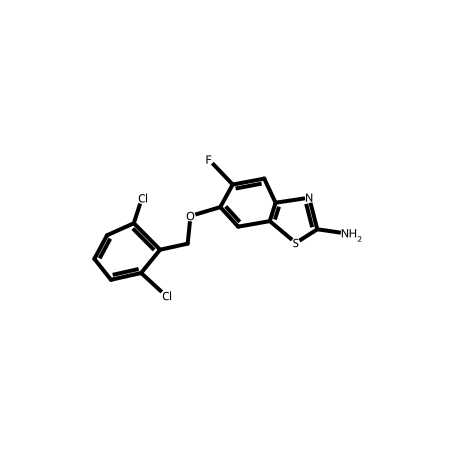 Nc1nc2cc(F)c(OCc3c(Cl)cccc3Cl)cc2s1